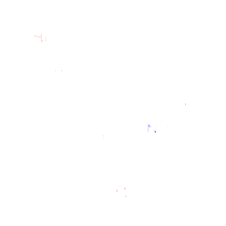 O=C(O)CCc1ccccc1CN1C(=O)CCC1C(=O)O